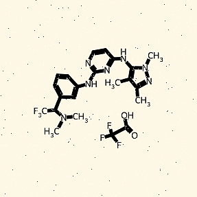 Cc1nn(C)c(Nc2ccnc(Nc3cccc(C(N(C)C)C(F)(F)F)c3)n2)c1C.O=C(O)C(F)(F)F